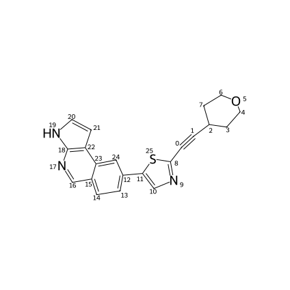 C(#CC1CCOCC1)c1ncc(-c2ccc3cnc4[nH]ccc4c3c2)s1